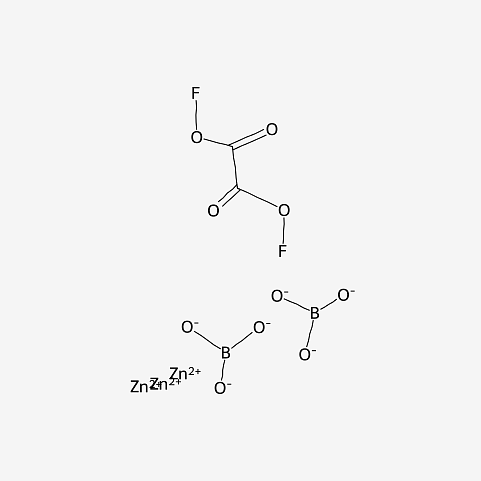 O=C(OF)C(=O)OF.[O-]B([O-])[O-].[O-]B([O-])[O-].[Zn+2].[Zn+2].[Zn+2]